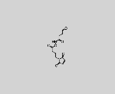 O=CCCC(=O)NOC(=O)CCCN1C(=O)C=CC1=O